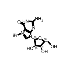 CC(C)[n+]1cn([C@@H]2O[C@H](CO)[C@@H](O)[C@H]2O)c2nc(N)[nH]c(=O)c21